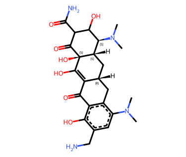 CN(C)c1cc(CN)c(O)c2c1C[C@H]1C[C@H]3[C@H](N(C)C)C(O)C(C(N)=O)C(=O)[C@@]3(O)C(O)=C1C2=O